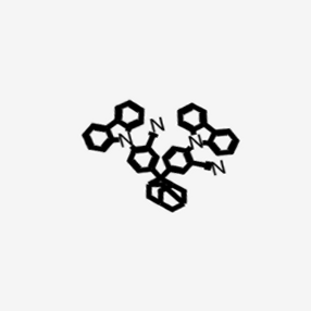 N#Cc1cc(C2(c3ccc(-n4c5ccccc5c5ccccc54)c(C#N)c3)C3CC4CC(C3)CC2C4)ccc1-n1c2ccccc2c2ccccc21